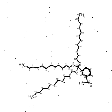 CCCCCCCCCCCCOC(OCCCCCCCCCCCC)(OCCCCCCCCCCCC)c1cccc(C(=O)O)c1